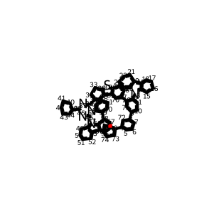 c1ccc(-c2cccc(-c3ccc(-n4c5ccccc5c5ccccc54)c(-c4ccc5sc6ccc(-c7nc(-c8ccccc8)nc(-n8c9ccccc9c9cccc(-c%10ccccc%10)c98)n7)cc6c5c4)c3)c2)cc1